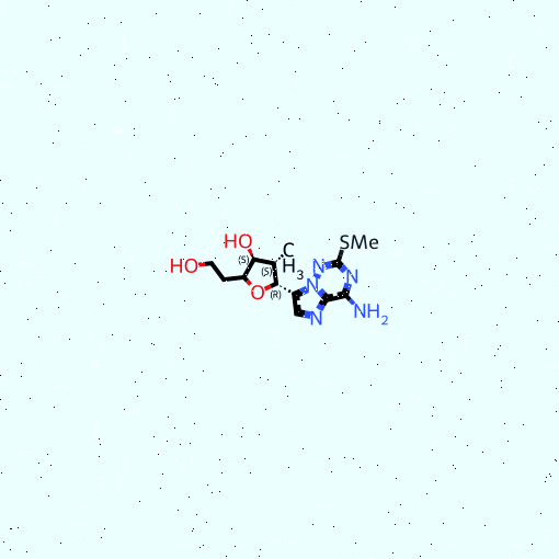 CSc1nc(N)c2ncc([C@@H]3OC(CCO)[C@@H](O)[C@@H]3C)n2n1